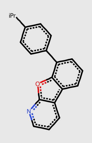 CC(C)c1ccc(-c2cccc3c2oc2ncccc23)cc1